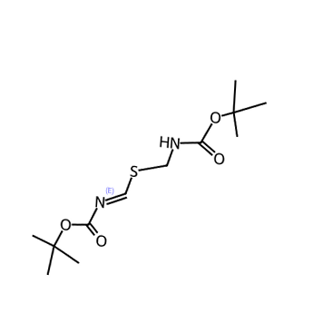 CC(C)(C)OC(=O)/N=C/SCNC(=O)OC(C)(C)C